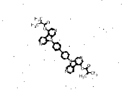 C=C(C)C(=O)Oc1cncc2c1c1ccncc1n2-c1ccc(-c2ccc(-n3c4cnccc4c4c(OC(=O)C(=C)C(F)(F)F)cncc43)cc2)cc1